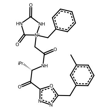 Cc1cccc(Cc2nnc(C(=O)[C@@H](NC(=O)C[N+]3(Cc4ccccc4)NC(=O)NC3=O)C(C)C)o2)c1